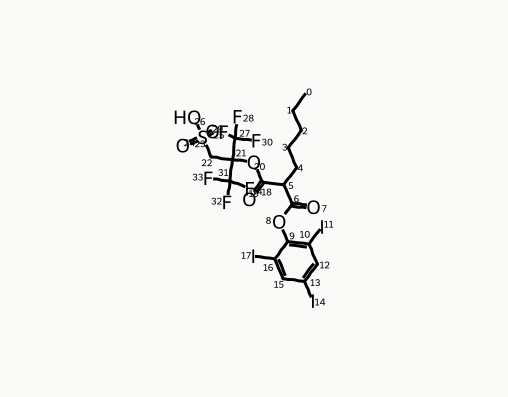 CCCCCC(C(=O)Oc1c(I)cc(I)cc1I)C(=O)OC(CS(=O)(=O)O)(C(F)(F)F)C(F)(F)F